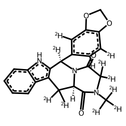 [2H]c1c([2H])c([C@]2([2H])c3[nH]c4ccccc4c3C([2H])([2H])[C@@H]3C(=O)N(C([2H])([2H])[2H])C([2H])([2H])C(=O)N32)c([2H])c2c1OCO2